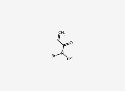 C=CC(=O)N(Br)CCC